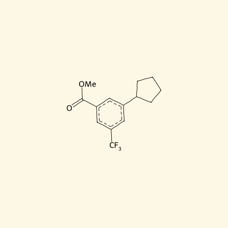 COC(=O)c1cc(C2CCCC2)cc(C(F)(F)F)c1